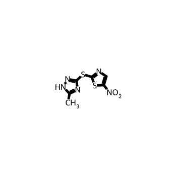 Cc1nc(Sc2ncc([N+](=O)[O-])s2)n[nH]1